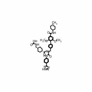 COc1cc(C(=O)NC2CCN(C)CC2)cc(OC)c1-c1ccc(C[C@H](NC(=O)[C@H]2CC[C@H](CNC(=O)O)CC2)C(=O)Nc2ccc(-c3nn[nH]n3)cc2)cc1